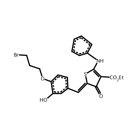 CCOC(=O)C1=C(Nc2ccccc2)S/C(=C\c2ccc(OCCCBr)c(O)c2)C1=O